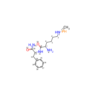 CPNCCCCC(N)C(=O)NC(Cc1ccccc1)C(N)=O